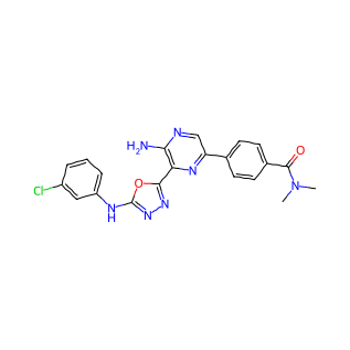 CN(C)C(=O)c1ccc(-c2cnc(N)c(-c3nnc(Nc4cccc(Cl)c4)o3)n2)cc1